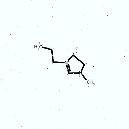 CCC[N+]1=CN(C)CC1.[I-]